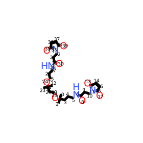 CC(C)(CCCNC(=O)CCN1C(=O)C=CC1=O)OCCC(C)(C)OCCCNC(=O)CCN1C(=O)C=CC1=O